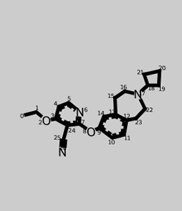 CCOc1ccnc(Oc2ccc3c(c2)CCN(C2CCC2)CC3)c1C#N